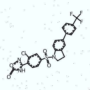 O=c1[nH]c(-c2ccc(S(=O)(=O)N3CCc4cc(-c5ccc(C(F)(F)F)cc5)ccc43)cc2Cl)no1